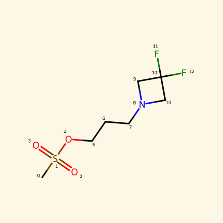 CS(=O)(=O)OCCCN1CC(F)(F)C1